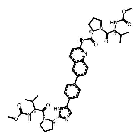 COC(=O)N[C@H](C(=O)N1CCC[C@H]1C(=O)Nc1ccc2cc(-c3ccc(-c4cnc([C@@H]5CCCN5C(=O)[C@@H](NC(=O)OC)C(C)C)[nH]4)cc3)ccc2n1)C(C)C